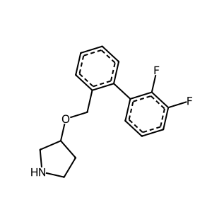 Fc1cccc(-c2ccccc2COC2CCNC2)c1F